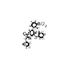 Cc1c(-c2cn3c(=O)c(Cc4ccco4)nc-3c(Cc3ccccc3)[nH]2)cccc1[N+](=O)[O-]